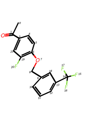 CC(=O)c1ccc(OCc2cccc(C(F)(F)F)c2)c(F)c1